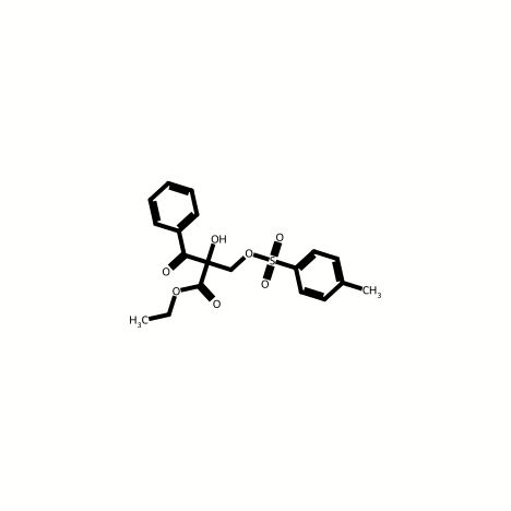 CCOC(=O)C(O)(COS(=O)(=O)c1ccc(C)cc1)C(=O)c1ccccc1